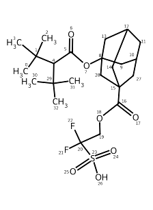 CC(C)(C)C(C(=O)OC12CC3CC(C1)CC(C(=O)OCC(F)(F)S(=O)(=O)O)(C3)C2)C(C)(C)C